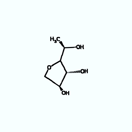 C[C@@H](O)C1OC[C@H](O)[C@H]1O